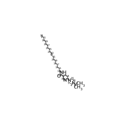 CC(C)N1CCN(c2ccc(C(=O)NCCCCCCCCCCCCCCCCCCI)cn2)CC1